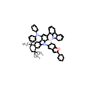 CC1(C)CCC(C)(C)c2cc3c(cc21)c1c(N(c2ccccc2)c2ccccc2)cc2c4c1n3-c1cc3cc(-c5ccccc5)oc3cc1B4n1c3ccccc3c3cccc-2c31